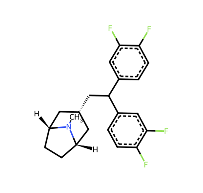 CN1[C@@H]2CC[C@H]1C[C@@H](CC(c1ccc(F)c(F)c1)c1ccc(F)c(F)c1)C2